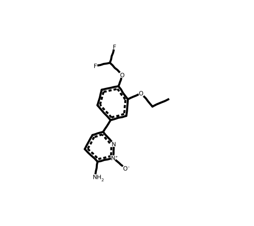 CCOc1cc(-c2ccc(N)[n+]([O-])n2)ccc1OC(F)F